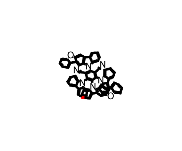 N#Cc1c(-n2c3ccccc3c3cc4oc5ccccc5c4cc32)c(C#N)c(-n2c3ccccc3c3ccccc32)c(-n2c3ccccc3c3cc4oc5ccccc5c4cc32)c1-n1c2ccccc2c2ccccc21